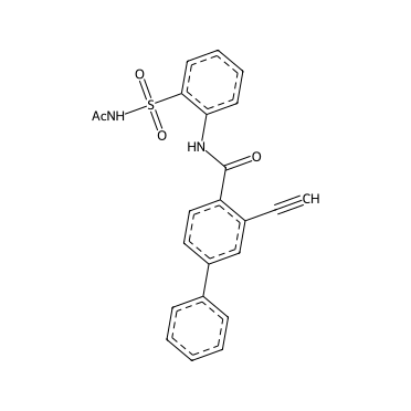 C#Cc1cc(-c2ccccc2)ccc1C(=O)Nc1ccccc1S(=O)(=O)NC(C)=O